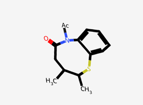 CC(=O)N1C(=O)CC(C)C(C)Sc2ccccc21